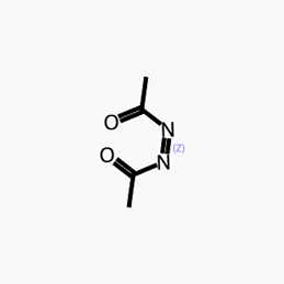 CC(=O)/N=N\C(C)=O